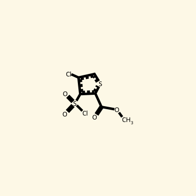 COC(=O)c1scc(Cl)c1S(=O)(=O)Cl